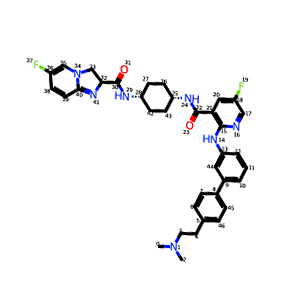 CN(C)CCc1ccc(-c2cccc(Nc3ncc(F)cc3C(=O)N[C@H]3CC[C@@H](NC(=O)C4CN5C=C(F)C=CC5=N4)CC3)c2)cc1